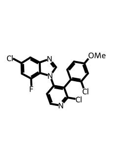 COc1ccc(-c2c(-n3cnc4cc(Cl)cc(F)c43)ccnc2Cl)c(Cl)c1